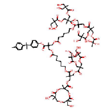 Cc1ccc(C(C)(C)c2ccc(OC(=O)C(C)(COC(=O)CCCCCOC(=O)C(C)(COC(=O)C(C)(COC(=O)C(C)(O)O)COC(=O)C(C)(CO)CO)COC(=O)C(C)(COC(=O)C(C)(CO)CO)COC(=O)C(C)(CO)CO)COC(=O)CCCCCOC(=O)C(C)(COC(=O)C(C)(COC(=O)C(C)(CO)CO)COC(=O)C(C)(CO)CO)COC(=O)C3(C)COC(=O)C(C)(CO)COCC(C)(CO)C(=O)OC3)cc2)cc1